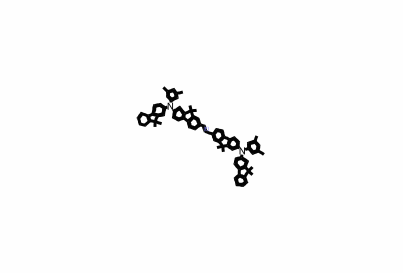 Cc1cc(C)cc(N(c2ccc3c(c2)C(C)(C)C2=C3C=CCC2)c2ccc3c(c2)C(C)(C)c2cc(/C=C/c4ccc5c(c4)C(C)(C)c4cc(N(c6cc(C)cc(C)c6)c6ccc7c(c6)C(C)(C)c6ccccc6-7)ccc4-5)ccc2-3)c1